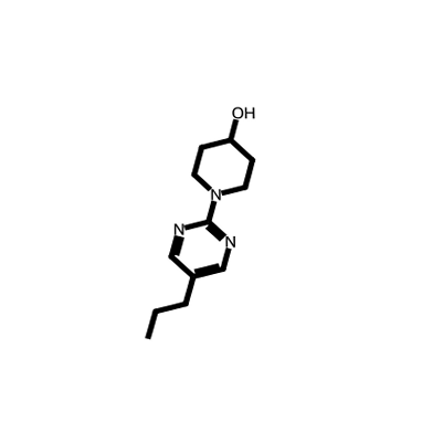 CCCc1cnc(N2CCC(O)CC2)nc1